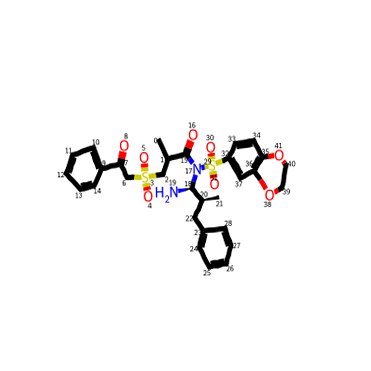 CC(CS(=O)(=O)CC(=O)c1ccccc1)C(=O)N([C@H](N)[C@@H](C)Cc1ccccc1)S(=O)(=O)c1ccc2c(c1)OCCO2